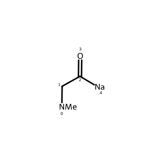 CNC[C](=O)[Na]